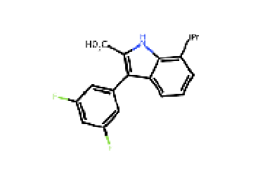 CC(C)c1cccc2c(-c3cc(F)cc(F)c3)c(C(=O)O)[nH]c12